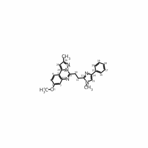 COc1ccc2c(c1)nc(CCc1nc(-c3ccccc3)cn1C)n1nc(C)cc21